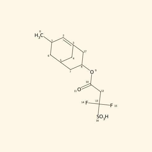 CC1C=C2CC(C1)CC(OC(=O)CC(F)(F)S(=O)(=O)O)C2